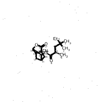 CCC(C)(C)C[C@@H](C)C(=O)OC1C2CC3C1OC(=O)C3(C#N)C2